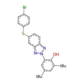 CC(C)(C)c1cc(-n2nc3ccc(Sc4ccc(Br)cc4)cc3n2)c(O)c(C(C)(C)C)c1